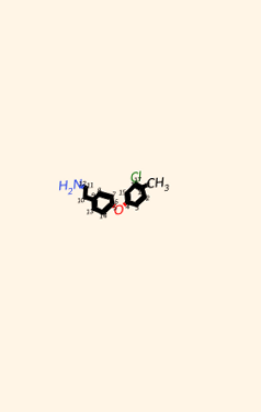 Cc1ccc(Oc2ccc(CCN)cc2)cc1Cl